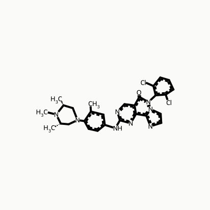 Cc1cc(Nc2ncc3c(=O)n(-c4c(Cl)cccc4Cl)n4ccnc4c3n2)ccc1N1C[C@@H](C)N(C)[C@@H](C)C1